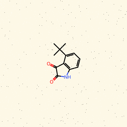 CC(C)(C)c1cccc2c1C(=O)C(=O)N2